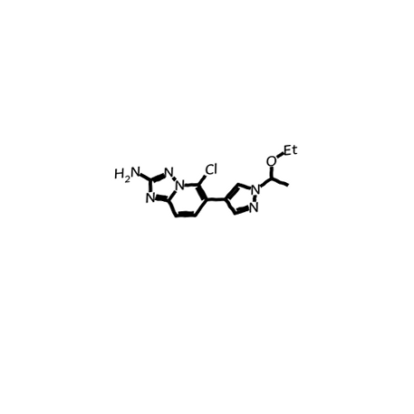 CCOC(C)n1cc(-c2ccc3nc(N)nn3c2Cl)cn1